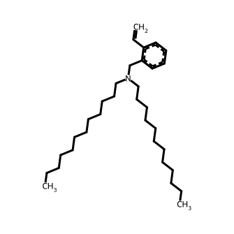 C=Cc1ccccc1CN(CCCCCCCCCCCC)CCCCCCCCCCCC